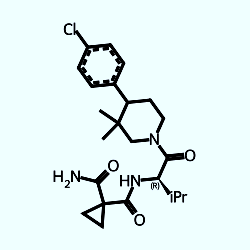 CC(C)[C@@H](NC(=O)C1(C(N)=O)CC1)C(=O)N1CCC(c2ccc(Cl)cc2)C(C)(C)C1